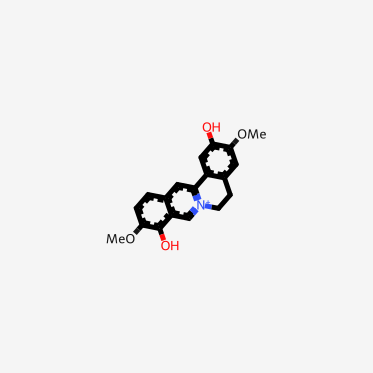 COc1cc2c(cc1O)-c1cc3ccc(OC)c(O)c3c[n+]1CC2